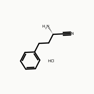 Cl.N#C[C@@H](N)CCc1ccccc1